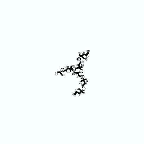 C=CCC(C)(C)OCCC(C)(C)OCC(COC(C)(C)CCOC(C)C)OC(C)(C)CCOC(C)(C)CC=C